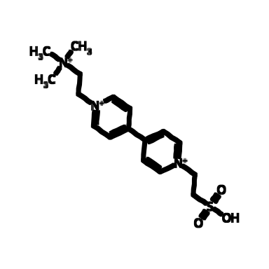 C[N+](C)(C)CC[n+]1ccc(-c2cc[n+](CCS(=O)(=O)O)cc2)cc1